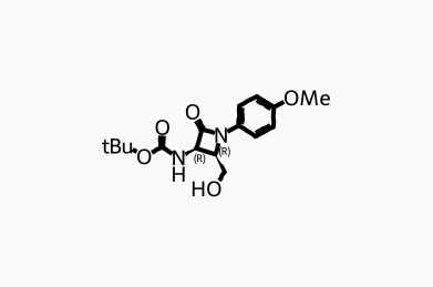 COc1ccc(N2C(=O)[C@H](NC(=O)OC(C)(C)C)[C@@H]2CO)cc1